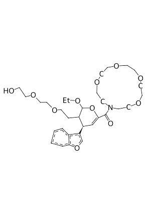 CCOC1OC(C(=O)N2CCOCCOCCOCCOCC2)=C[C@@H](c2coc3ccccc23)C1CCOCCOCCO